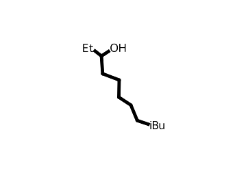 CCC(C)CCCCCC(O)CC